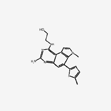 Cc1ccc(-c2cc3nc(N)nc(NCCO)c3c3ccn(C)c23)s1